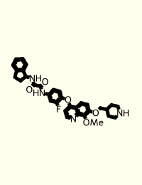 COc1c(OCC2CCNCC2)ccc2c(Oc3ccc(NC(=O)C(=O)NC4CCc5ccccc54)cc3F)ccnc12